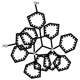 CC(c1ccc(O)cc1)(c1ccc(O)cc1)C(P(c1ccccc1)(c1ccccc1)(c1ccccc1)c1ccccc1)P(c1ccccc1)(c1ccccc1)(c1ccccc1)c1ccccc1